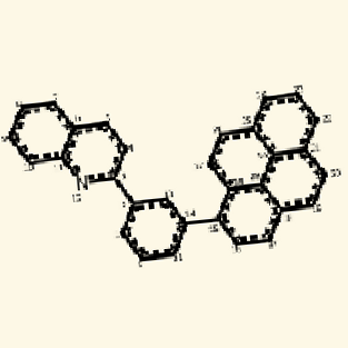 c1cc(-c2ccc3ccccc3n2)cc(-c2ccc3ccc4cccc5ccc2c3c45)c1